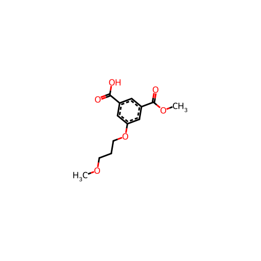 COCCCOc1cc(C(=O)O)cc(C(=O)OC)c1